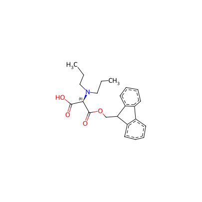 CCCN(CCC)[C@H](C(=O)O)C(=O)OCC1c2ccccc2-c2ccccc21